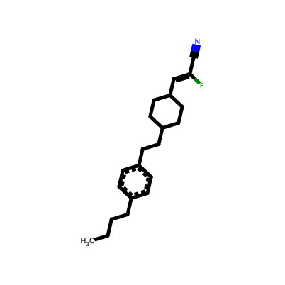 CCCCc1ccc(CCC2CCC(C=C(F)C#N)CC2)cc1